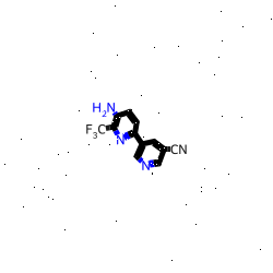 N#Cc1cncc(-c2ccc(N)c(C(F)(F)F)n2)c1